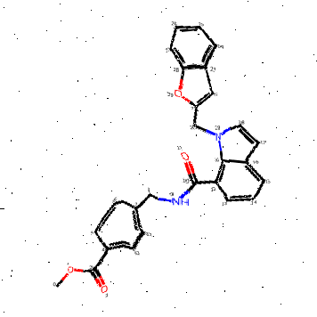 COC(=O)c1ccc(CNC(=O)c2cccc3ccn(Cc4cc5ccccc5o4)c23)cc1